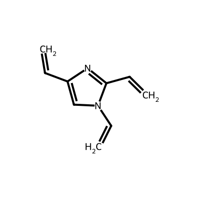 C=Cc1cn(C=C)c(C=C)n1